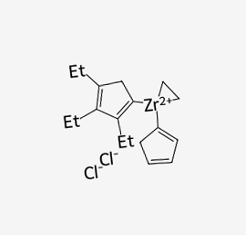 CCC1=C(CC)C(CC)=[C]([Zr+2]2([C]3=CC=CC3)[CH2][CH2]2)C1.[Cl-].[Cl-]